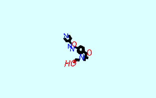 CC1(C)C(=O)c2ccc(-c3nnc(-c4ccncc4)o3)cc2N1CCO